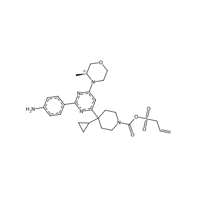 C=CCS(=O)(=O)OC(=O)N1CCC(c2cc(N3CCOC[C@@H]3C)nc(-c3ccc(N)cc3)n2)(C2CC2)CC1